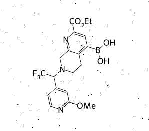 CCOC(=O)c1cc(B(O)O)c2c(n1)CN(C(c1ccnc(OC)c1)C(F)(F)F)CC2